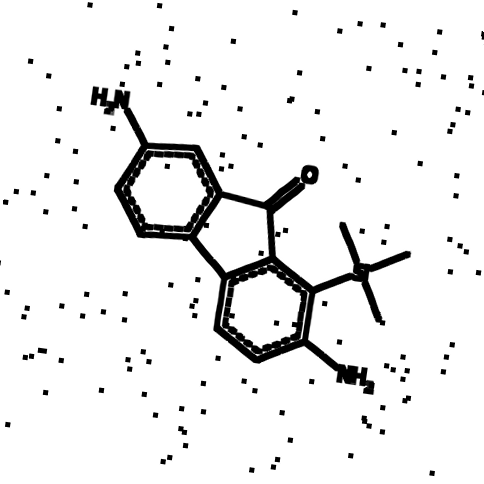 C[Si](C)(C)c1c(N)ccc2c1C(=O)c1cc(N)ccc1-2